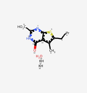 Cc1c(CC(C)C)sc2nc(C(=O)O)[nH]c(=O)c12.O.[KH].[KH]